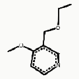 CCOCc1[c]nccc1OC